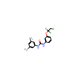 O=C(Nc1cccc(OC(F)(F)CF)c1)Nc1cc(C(F)(F)F)cc(C(F)(F)F)c1